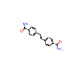 NC(=O)c1ccc(C=Cc2ccc(C(N)=O)cc2)cc1